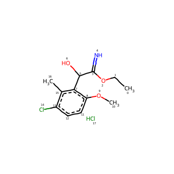 CCOC(=N)C(O)c1c(OC)ccc(Cl)c1C.Cl